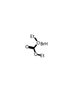 Br.CCOC(=O)OCC